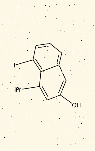 CC(C)c1cc(O)cc2cccc(I)c12